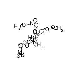 COCCCN1CCOc2ccc(CO[C@H]3CN[C@@H](CN(C)C(=O)COC(=O)Oc4cccc(CO[N+](=O)[O-])c4)C[C@@H]3c3ccc(COCCOC)cc3)cc21